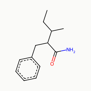 CCC(C)C(Cc1ccccc1)C(N)=O